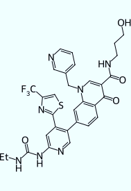 CCNC(=O)Nc1cc(-c2nc(C(F)(F)F)cs2)c(-c2ccc3c(=O)c(C(=O)NCCCO)cn(Cc4cccnc4)c3c2)cn1